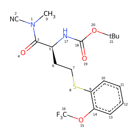 CN(C#N)C(=O)[C@H](CCSc1ccccc1OC(F)(F)F)NC(=O)OC(C)(C)C